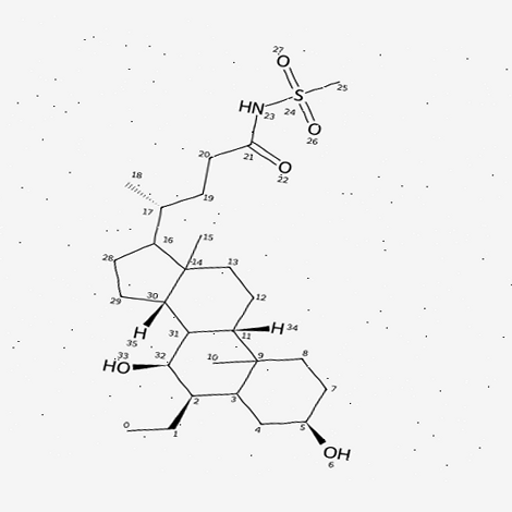 CC[C@@H]1C2C[C@H](O)CCC2(C)[C@H]2CCC3(C)C([C@H](C)CCC(=O)NS(C)(=O)=O)CC[C@H]3C2[C@@H]1O